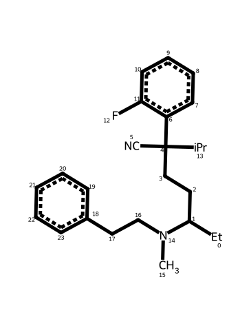 CCC(CCC(C#N)(c1ccccc1F)C(C)C)N(C)CCc1ccccc1